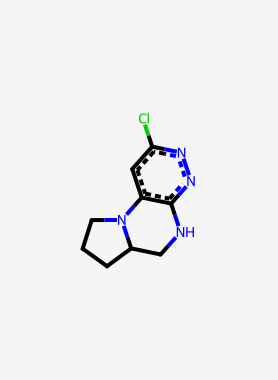 Clc1cc2c(nn1)NCC1CCCN21